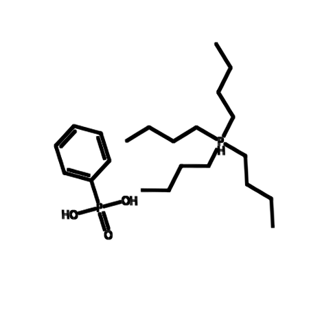 CCCC[PH](CCCC)(CCCC)CCCC.O=P(O)(O)c1ccccc1